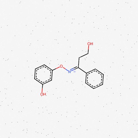 OCC/C(=N\Oc1cccc(O)c1)c1ccccc1